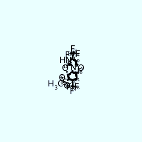 CS(=O)(=O)c1cc(-n2c(=O)cc(C(F)(F)F)[nH]c2=O)c(F)cc1C(F)(F)F